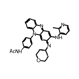 CC(=O)Nc1ccc(-n2c3c/c(=N\C4CCOCC4)c(Nc4cccnc4C)cc-3nc3ccccc32)cc1